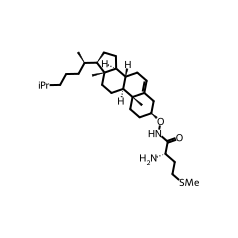 CSCC[C@H](N)C(=O)NO[C@H]1CC[C@@]2(C)C(=CC[C@H]3[C@@H]4CC[C@H]([C@H](C)CCCC(C)C)[C@@]4(C)CC[C@@H]32)C1